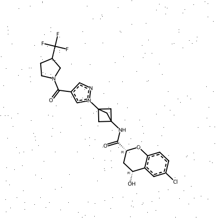 O=C(NC12CC(n3cc(C(=O)N4CCC(C(F)(F)F)C4)cn3)(C1)C2)[C@H]1C[C@@H](O)c2cc(Cl)ccc2O1